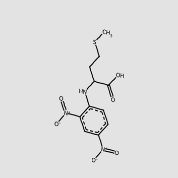 CSCCC(Nc1ccc([N+](=O)[O-])cc1[N+](=O)[O-])C(=O)O